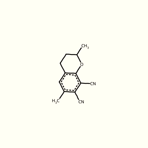 Cc1cc2c(c(C#N)c1C#N)OC(C)CC2